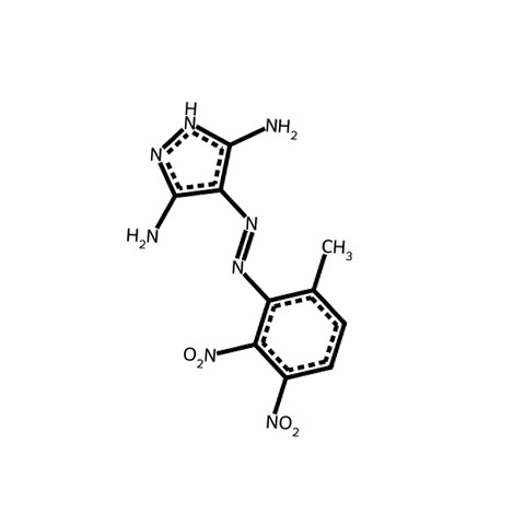 Cc1ccc([N+](=O)[O-])c([N+](=O)[O-])c1N=Nc1c(N)n[nH]c1N